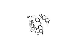 COc1cc(N2CC3(CCN(C)C3)OCC2=O)c(F)cc1Nc1ncc(C(F)(F)F)c(Oc2cccc3c2C(=O)N(C)C3)n1